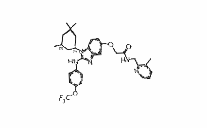 Cc1cccnc1CNC(=O)COc1ccc2c(c1)nc(Nc1ccc(OC(F)(F)F)cc1)n2[C@H]1C[C@@H](C)CC(C)(C)C1